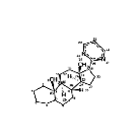 C[C@]12CCCCC1CC[C@@H]1[C@@H]2CC[C@]2(C)C(c3ncccn3)CC[C@@H]12